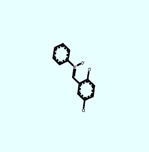 [O-][N+](=Cc1cc(Cl)ccc1Cl)c1ccccc1